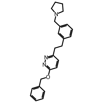 c1ccc(COc2ccc(CCc3cccc(CN4CCCC4)c3)nn2)cc1